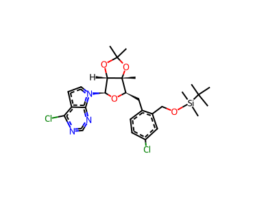 CC1(C)O[C@H]2[C@H](n3ccc4c(Cl)ncnc43)O[C@H](Cc3ccc(Cl)cc3CO[Si](C)(C)C(C)(C)C)[C@@]2(C)O1